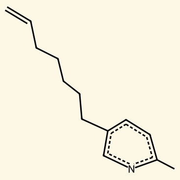 C=CCCCCCc1ccc(C)nc1